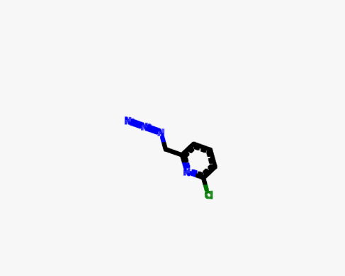 [N-]=[N+]=NCc1cccc(Cl)n1